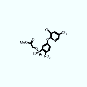 CCP(=O)(OCC(=O)OC)c1cc(Oc2ncc(C(F)(F)F)cc2Cl)ccc1[N+](=O)[O-]